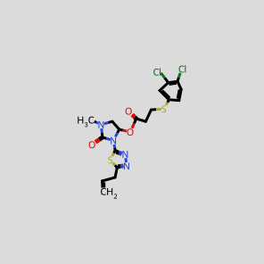 C=CCc1nnc(N2C(=O)N(C)CC2OC(=O)CCSc2ccc(Cl)c(Cl)c2)s1